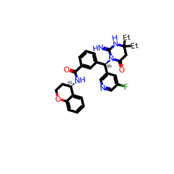 CCC1(CC)CC(=O)N([C@@H](c2cncc(F)c2)c2cccc(C(=O)N[C@H]3CCOc4ccccc43)c2)C(=N)N1